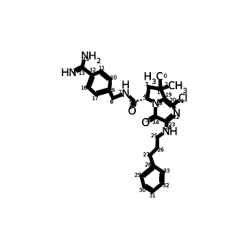 CC1(C)C[C@@H](C(=O)NCc2ccc(C(=N)N)cc2)n2c1c(Cl)nc(NCCCc1ccccc1)c2=O